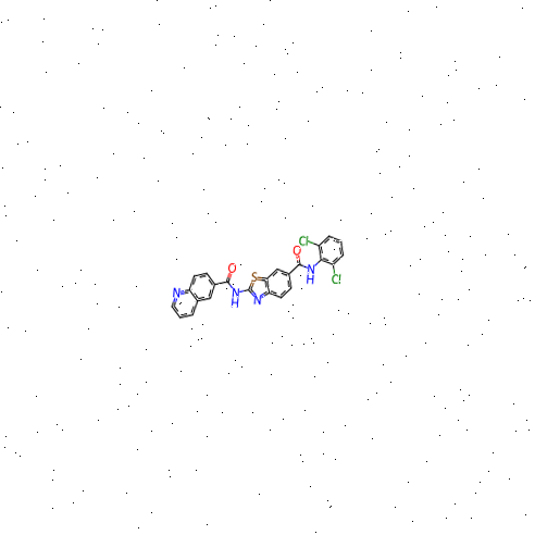 O=C(Nc1nc2ccc(C(=O)Nc3c(Cl)cccc3Cl)cc2s1)c1ccc2ncccc2c1